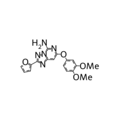 COc1ccc(Oc2cc3nc(-c4ccco4)nn3c(N)n2)cc1OC